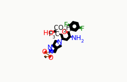 CS(=O)(=O)n1cc2c(n1)CN([C@@H]1C[C@H](N)[C@@H](c3cc(F)ccc3F)O[C@@H]1C(F)(F)F)C2.O=C(O)CO